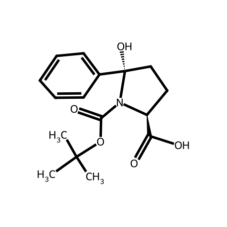 CC(C)(C)OC(=O)N1[C@H](C(=O)O)CC[C@]1(O)c1ccccc1